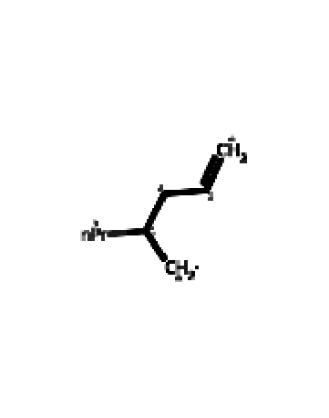 [CH2]C(CC=C)CCC